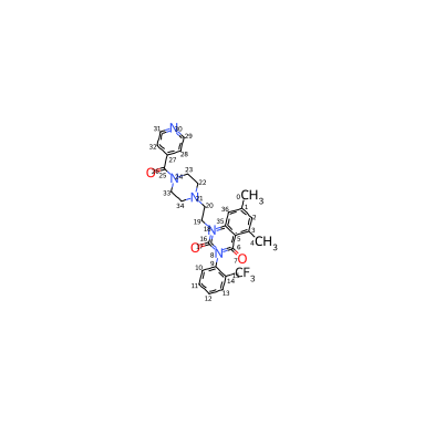 Cc1cc(C)c2c(=O)n(-c3ccccc3C(F)(F)F)c(=O)n(CCN3CCN(C(=O)c4ccncc4)CC3)c2c1